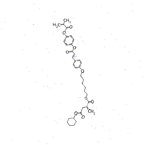 C=C(C)C(=O)Oc1ccc(OC(=O)/C=C/c2ccc(OCCCCCCOC(=O)C(=C)CC(=O)OC3CCCCC3)cc2)cc1